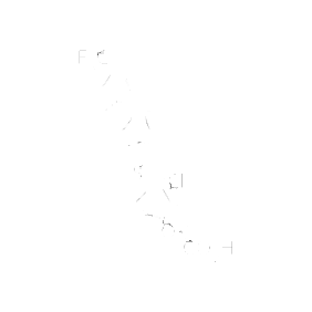 Cc1cc(SCc2ccc(-c3ccc(C(F)(F)F)cc3)cc2)c(Cl)cc1OCC(=O)O